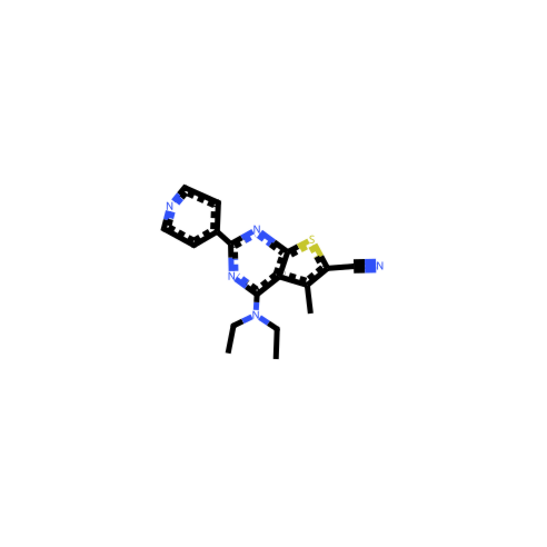 CCN(CC)c1nc(-c2ccncc2)nc2sc(C#N)c(C)c12